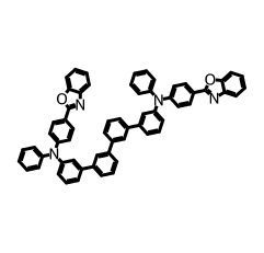 c1ccc(N(c2ccc(-c3nc4ccccc4o3)cc2)c2cccc(-c3cccc(-c4cccc(-c5cccc(N(c6ccccc6)c6ccc(-c7nc8ccccc8o7)cc6)c5)c4)c3)c2)cc1